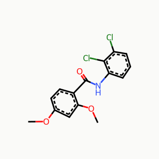 COc1ccc(C(=O)Nc2cccc(Cl)c2Cl)c(OC)c1